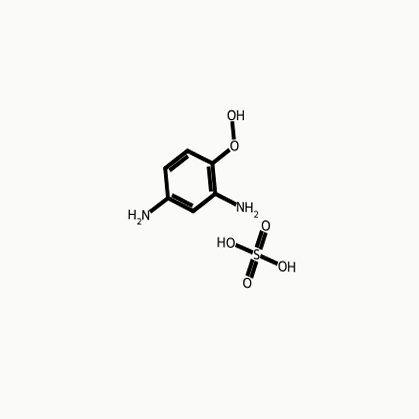 Nc1ccc(OO)c(N)c1.O=S(=O)(O)O